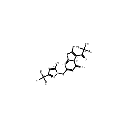 Cc1sc2nc(Cn3nc(C(F)(F)F)cc3Cl)cc(=O)n2c1C(=O)C(F)(F)F